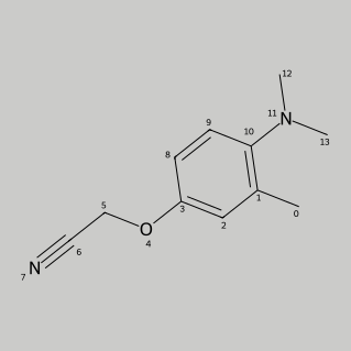 Cc1cc(OCC#N)ccc1N(C)C